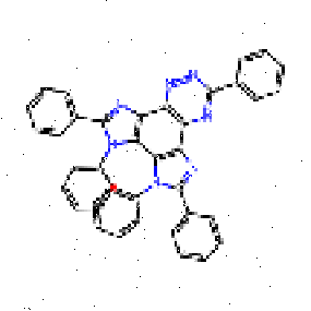 c1ccc(-c2nnc3c(n2)c2nc(-c4ccccc4)n(-c4ccccc4)c2c2c3nc(-c3ccccc3)n2-c2ccccc2)cc1